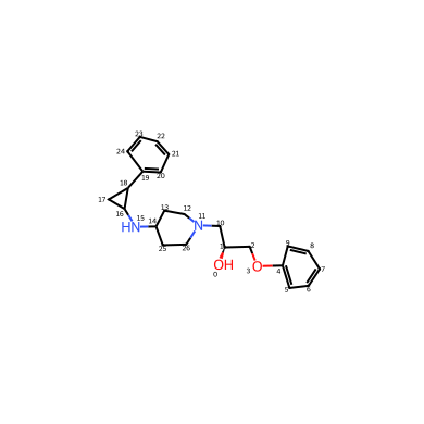 O[C@H](COc1ccccc1)CN1CCC(NC2CC2c2ccccc2)CC1